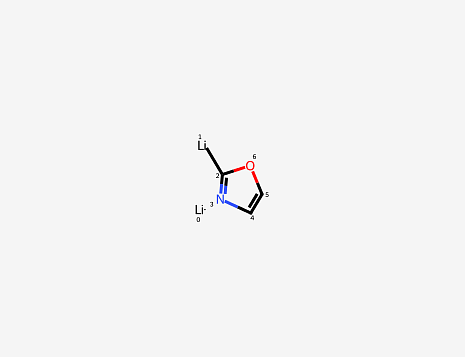 [Li].[Li][c]1ncco1